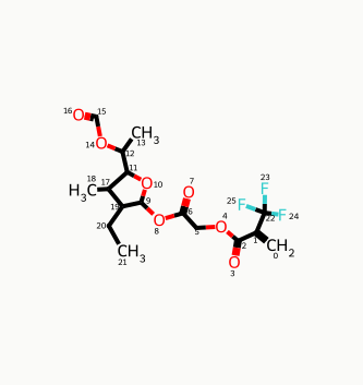 C=C(C(=O)OCC(=O)OC1OC(C(C)OC=O)C(C)C1CC)C(F)(F)F